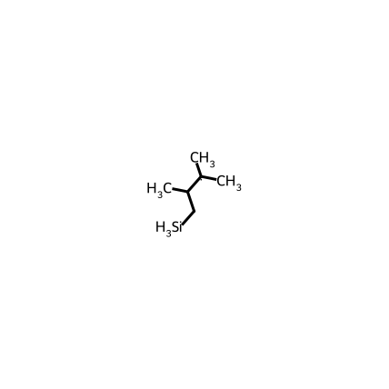 C[C](C)C(C)C[SiH3]